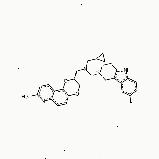 Cc1ccc2c3c(ccc2n1)OC[C@H](CN(CC1CC1)C[C@@H]1CCc2[nH]c4ccc(F)cc4c2C1)O3